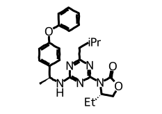 CC[C@H]1COC(=O)N1c1nc(CC(C)C)nc(N[C@@H](C)c2ccc(Oc3ccccc3)cc2)n1